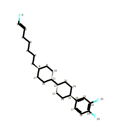 FC=CCCCCC[C@H]1CC[C@H]([C@H]2CC[C@H](c3ccc(F)c(F)c3)CC2)CC1